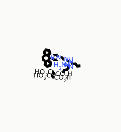 C=CCC1=NC(CC=C)N(N)C(NCCN2CCN(C3c4ccccc4CCc4ccccc43)CC2)=N1.O=C(O)C=CC(=O)O.O=C(O)C=CC(=O)O